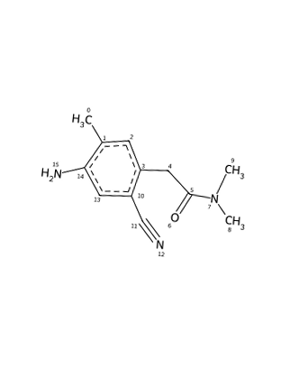 Cc1cc(CC(=O)N(C)C)c(C#N)cc1N